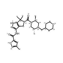 Cc1cc(C(=O)Nc2n[nH]c3c2CN(C(=O)N2C[C@@H](C)N(CC4CCOCC4)C[C@@H]2C)C3(C)C)on1